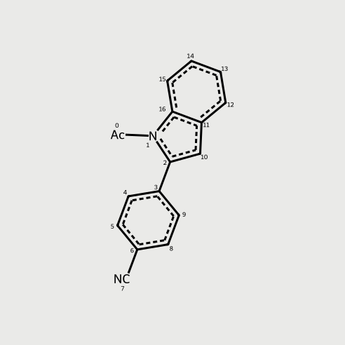 CC(=O)n1c(-c2ccc(C#N)cc2)cc2ccccc21